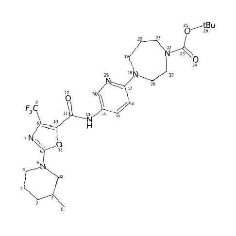 CC1CCCN(c2nc(C(F)(F)F)c(C(=O)Nc3ccc(N4CCCN(C(=O)OC(C)(C)C)CC4)nc3)o2)C1